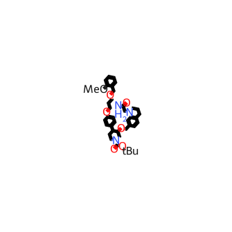 COc1ccccc1COCCCOc1ccc(C2CCN(C(=O)OC(C)(C)C)CC2OCc2ccc3c(c2)N(CC(N)=O)CCC3)cc1